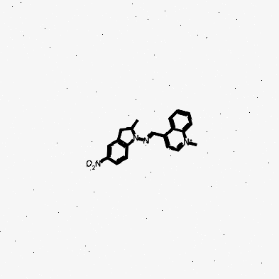 CC1Cc2cc([N+](=O)[O-])ccc2N1N=Cc1cc[n+](C)c2ccccc12